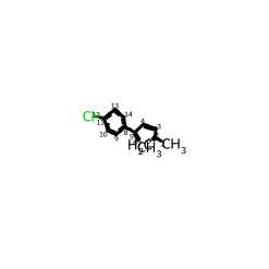 C=C(C)/C=C\C(=C/C)c1ccc(Cl)cc1